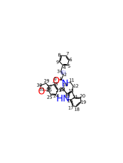 O=C(/C=C/c1ccccc1)N1CCc2c([nH]c3ccccc23)[C@@H]1c1ccc2c(c1)CCO2